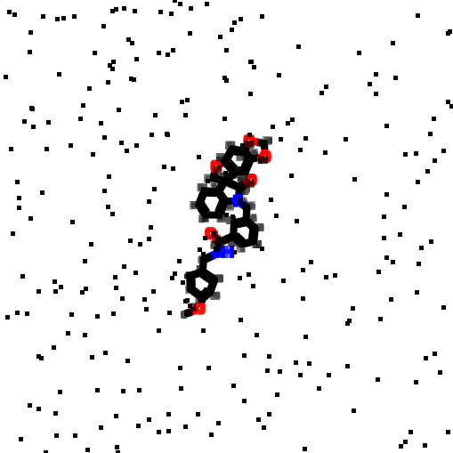 COc1ccc(CNC(=O)c2cccc(CN3C(=O)C4(COc5cc6c(cc54)OCO6)c4ccccc43)c2)cc1